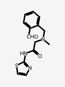 CN(CC(=O)Nc1nccs1)Cc1ccccc1C=O